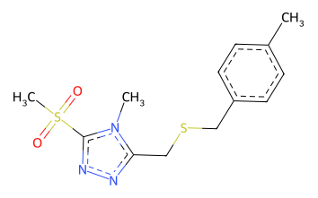 Cc1ccc(CSCc2nnc(S(C)(=O)=O)n2C)cc1